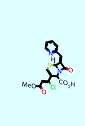 COC(=O)C=C(Cl)C1=CS[C@H]2/C(=C\c3ccccn3)C(=O)N2C1C(=O)O